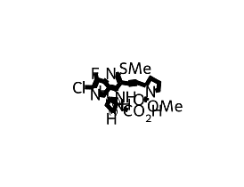 COC(=O)N1CCCC1C#Cc1c(SC)nc2c(F)c(Cl)ncc2c1N[C@H]1[C@@H]2C[C@H]1N(C(=O)O)C2